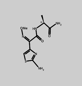 CON=C(C(=O)N[C@@H](C)C(N)=O)c1csc(N)n1